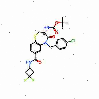 CC(C)(C)OC(=O)N[C@H]1CSc2ccc(C(=O)NC3CC(F)(F)C3)cc2N(Cc2ccc(Cl)cc2)C1=O